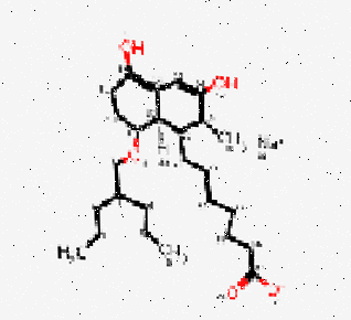 CCCC(CCC)CO[C@H]1CCC(O)=C2C=C(O)[C@@H](C)[C@@H](CCCCCCC(=O)[O-])[C@H]21.[Na+]